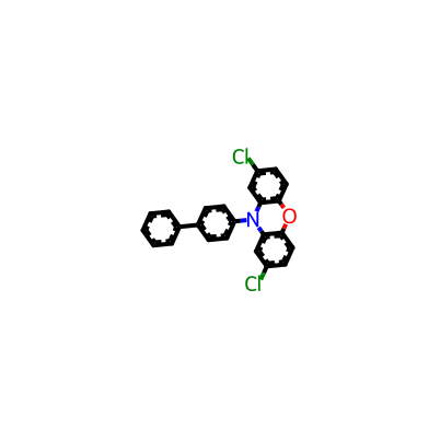 Clc1ccc2c(c1)N(c1ccc(-c3ccccc3)cc1)c1cc(Cl)ccc1O2